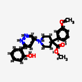 COC(=O)C1(c2cccc(OC)c2)CCN(c2cnnc(-c3ccccc3O)c2)CC1